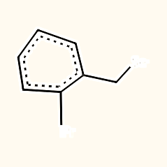 CC(C)c1ccccc1C[Se]